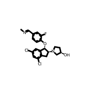 C/N=C/c1ccc(O[C@H]2c3cc(Cl)cc(Cl)c3C[C@@H]2N2CC[C@@H](O)C2)c(F)c1